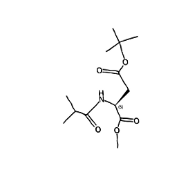 COC(=O)[C@H](CC(=O)OC(C)(C)C)NC(=O)C(C)C